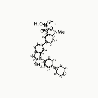 CNc1ncc(-c2ccc3nc(N)n(-c4ccc(N5CCOCC5)cc4)c3c2)cc1S(=O)(=O)N(C)C